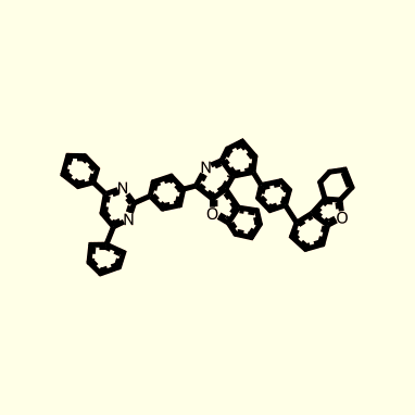 C1=Cc2oc3cccc(-c4ccc(-c5cccc6nc(-c7ccc(-c8nc(-c9ccccc9)cc(-c9ccccc9)n8)cc7)c7oc8ccccc8c7c56)cc4)c3c2CC1